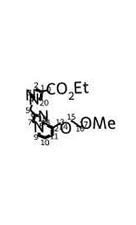 CCOC(=O)c1cnn(Cc2cn3cccc(COCCOC)c3n2)c1